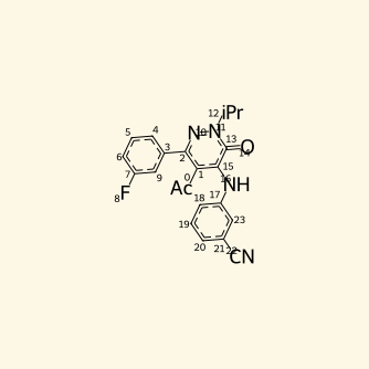 CC(=O)c1c(-c2cccc(F)c2)nn(C(C)C)c(=O)c1Nc1cccc(C#N)c1